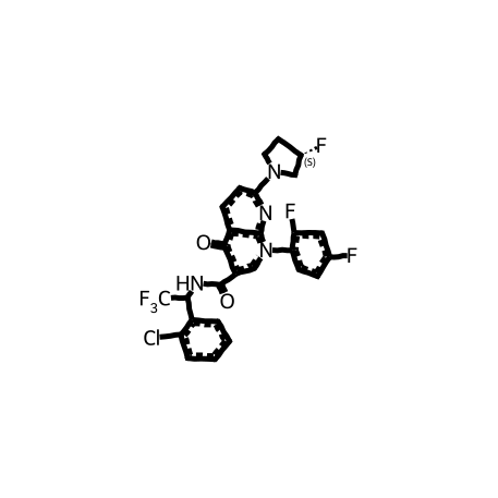 O=C(NC(c1ccccc1Cl)C(F)(F)F)c1cn(-c2ccc(F)cc2F)c2nc(N3CC[C@H](F)C3)ccc2c1=O